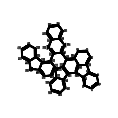 c1ccc2c(c1)-c1cccc3c(-c4nc5ccccc5nc4-c4cccc5oc6ccccc6c45)c4oc5ccccc5c4c-2c13